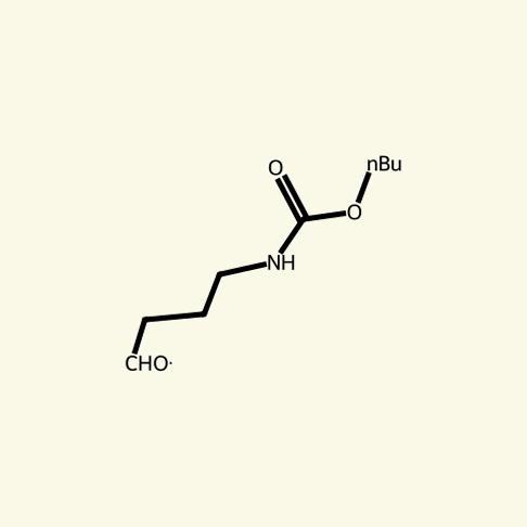 CCCCOC(=O)NCCC[C]=O